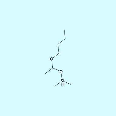 CCCCOC(C)O[SiH](C)C